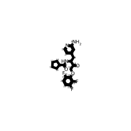 Nc1cc(CC(NC(=O)C2CCCC2)C(=O)COc2c(F)ccc(F)c2F)ccn1